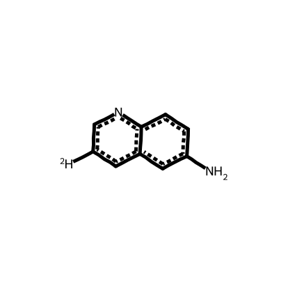 [2H]c1cnc2ccc(N)cc2c1